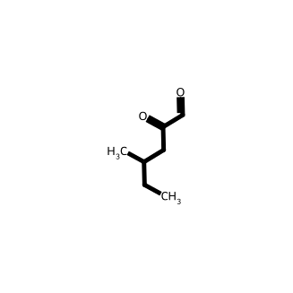 CCC(C)CC(=O)C=O